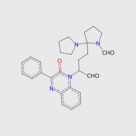 O=CC(CCC1(N2CCCC2)CCCN1C=O)n1c(=O)c(-c2ccccc2)nc2ccccc21